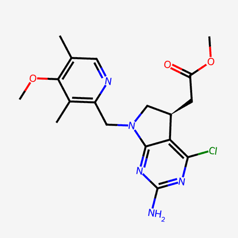 COC(=O)C[C@@H]1CN(Cc2ncc(C)c(OC)c2C)c2nc(N)nc(Cl)c21